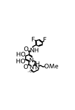 COCCN1CC[C@H](C)N2C(=O)C3=C(O)C(O)C(C(=O)NCc4ccc(F)cc4F)=CN3C[C@@H]12